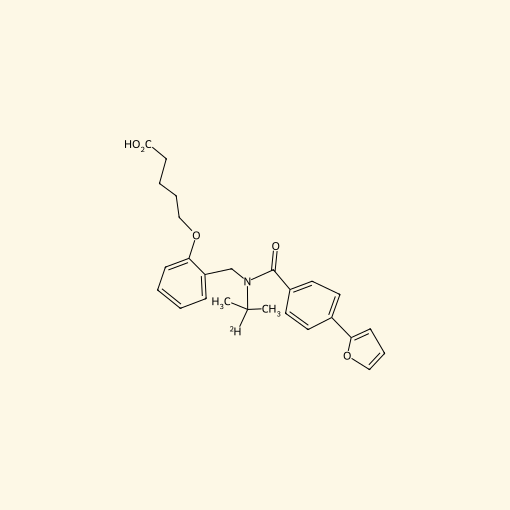 [2H]C(C)(C)N(Cc1ccccc1OCCCCC(=O)O)C(=O)c1ccc(-c2ccco2)cc1